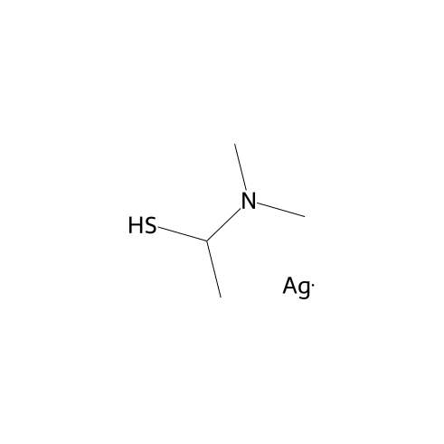 CC(S)N(C)C.[Ag]